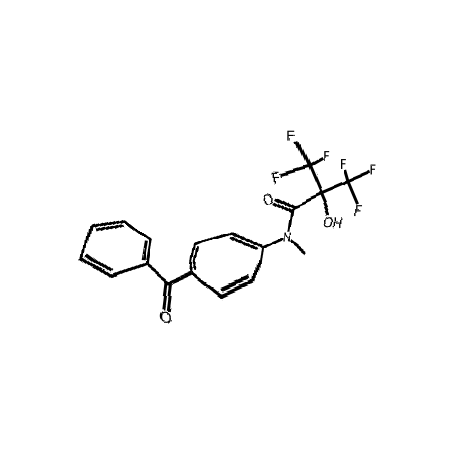 CN(C(=O)C(O)(C(F)(F)F)C(F)(F)F)c1ccc(C(=O)c2ccccc2)cc1